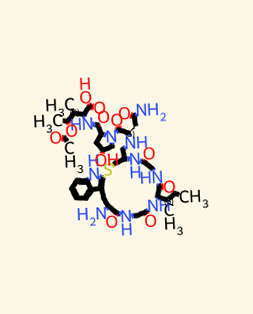 CC[C@H](C)C1NC(=O)CNC(=O)C(N)Cc2c([nH]c3ccccc23)SCC(CN[C@@H](CC(N)=O)C(=O)N2CC(O)CC2C(=O)NC(C(=O)O)[C@@H](C)C(C)OC(C)=O)NC(=O)CNC1=O